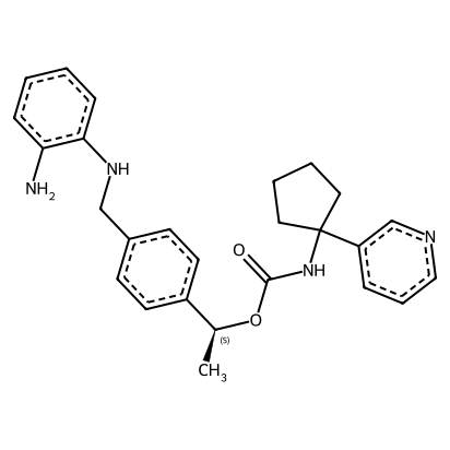 C[C@H](OC(=O)NC1(c2cccnc2)CCCC1)c1ccc(CNc2ccccc2N)cc1